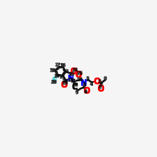 CC(=O)OCCN1C(=O)CCC(N2C(=O)c3cccc(F)c3C2=O)C1=O